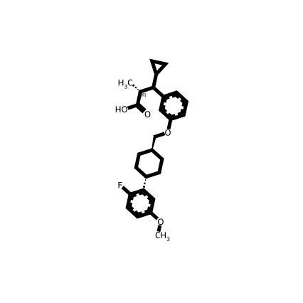 COc1ccc(F)c([C@H]2CC[C@H](COc3cccc(C(C4CC4)[C@@H](C)C(=O)O)c3)CC2)c1